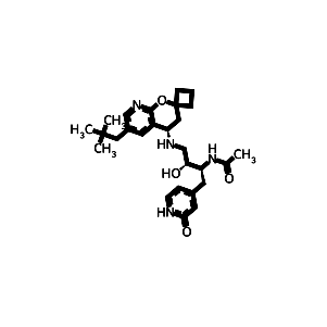 CC(=O)N[C@@H](Cc1cc[nH]c(=O)c1)[C@H](O)CN[C@H]1CC2(CCC2)Oc2ncc(CC(C)(C)C)cc21